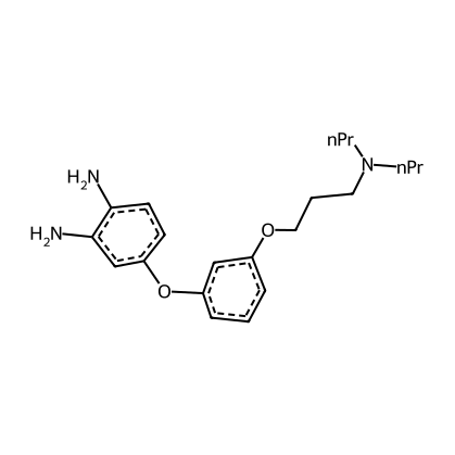 CCCN(CCC)CCCOc1cccc(Oc2ccc(N)c(N)c2)c1